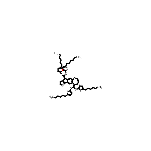 C=C1C=CSc2cc3c(cc2C1=C(Sc1ccc(CCCCCC)s1)Sc1ccc(CCCCCC)s1)-c1sccc1C3=C(Sc1ccc(CCCCCC)s1)Sc1ccc(CCCCCC)s1